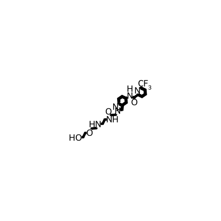 O=C(Cn1cc2cc(NC(=O)c3cccc(C(F)(F)F)n3)ccc2n1)NCCNCCOCCO